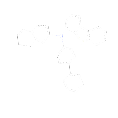 C1=Cc2ccc(N(c3ccc(-c4ccccc4)cc3)c3cccc4c3sc3ccccc34)cc2CC1